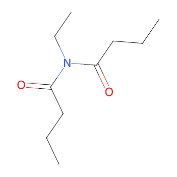 CCCC(=O)N(CC)C(=O)CCC